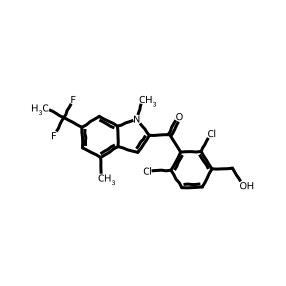 Cc1cc(C(C)(F)F)cc2c1cc(C(=O)c1c(Cl)ccc(CO)c1Cl)n2C